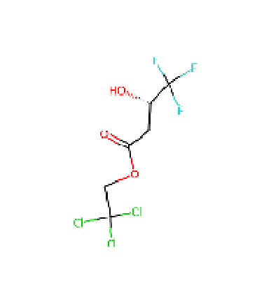 O=C(C[C@H](O)C(F)(F)F)OCC(Cl)(Cl)Cl